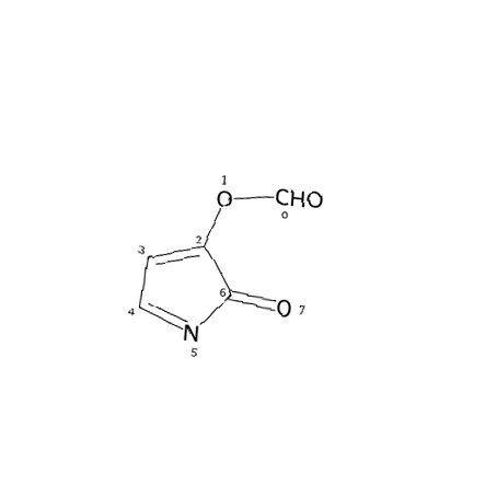 O=COC1=CC=NC1=O